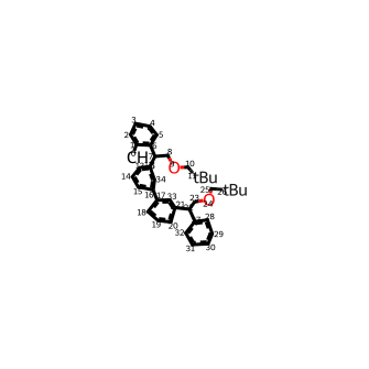 Cc1ccccc1C(COCC(C)(C)C)c1cccc(-c2cccc(C(COCC(C)(C)C)c3ccccc3)c2)c1